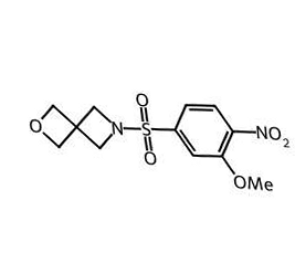 COc1cc(S(=O)(=O)N2CC3(COC3)C2)ccc1[N+](=O)[O-]